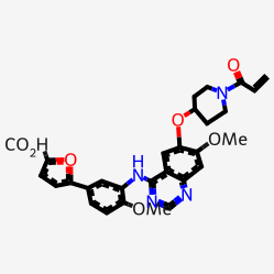 C=CC(=O)N1CCC(Oc2cc3c(Nc4cc(-c5ccc(C(=O)O)o5)ccc4OC)ncnc3cc2OC)CC1